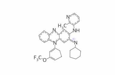 Cc1ncccc1Nc1cc2nc3ccccc3n(C3=CC(OC(F)(F)F)=CCC3)c-2c/c1=N\C1CCCCC1